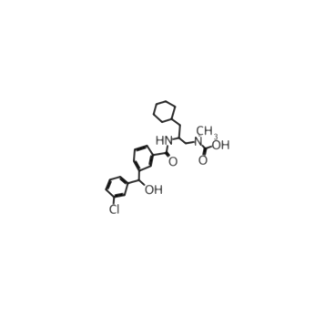 CN(CC(CC1CCCCC1)NC(=O)c1cccc(C(O)c2cccc(Cl)c2)c1)C(=O)O